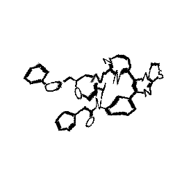 O=C(Cc1ccccc1)Nc1cccc(-c2nc3n(c2-c2ccnc(N4CCO[C@@H](COc5ccccc5)C4)n2)CCS3)c1